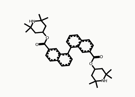 CC1(C)CC(OC(=O)c2ccc3cccc(-c4cccc5ccc(C(=O)OC6CC(C)(C)NC(C)(C)C6)cc45)c3c2)CC(C)(C)N1